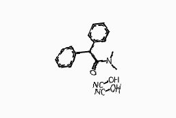 CN(C)C(=O)C(c1ccccc1)c1ccccc1.N#CO.N#CO